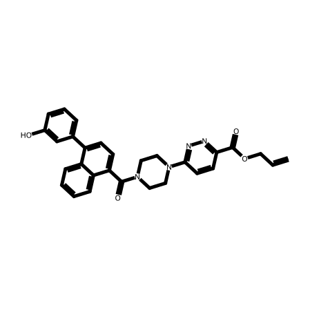 C=CCOC(=O)c1ccc(N2CCN(C(=O)c3ccc(-c4cccc(O)c4)c4ccccc34)CC2)nn1